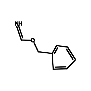 N=COCc1ccccc1